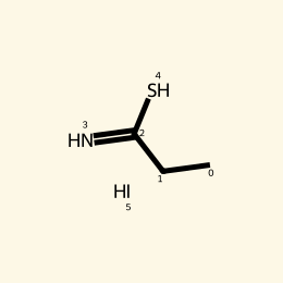 CCC(=N)S.I